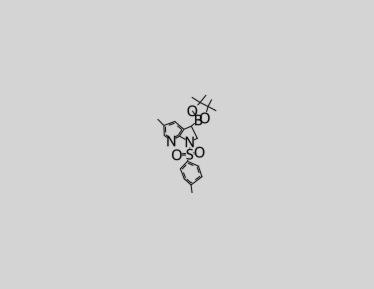 Cc1ccc(S(=O)(=O)N2CC(B3OC(C)(C)C(C)(C)O3)c3cc(C)cnc32)cc1